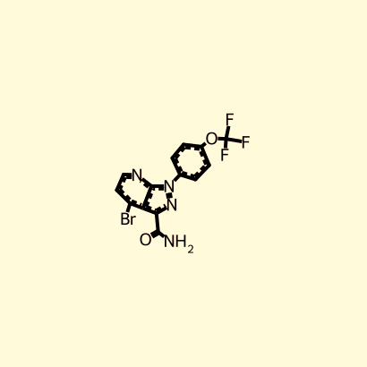 NC(=O)c1nn(-c2ccc(OC(F)(F)F)cc2)c2nccc(Br)c12